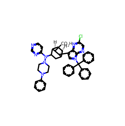 O=C(O)[C@@H]1C2CCC(CC2N(c2ccncn2)N2CCN(c3ccccc3)CC2)[C@@H]1c1cn(C(c2ccccc2)(c2ccccc2)c2ccccc2)c2ncc(Cl)nc12